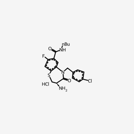 CCCCNC(=O)c1cc2c(cc1F)SC[C@H](N)C(=O)N2Cc1ccc(Cl)cc1.Cl